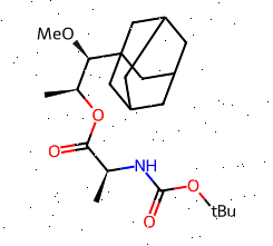 CO[C@H]([C@H](C)OC(=O)[C@H](C)NC(=O)OC(C)(C)C)C12CC3CC(CC(C3)C1)C2